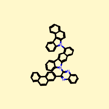 c1cc(-n2c3ccccc3c3c4ccccc4ccc32)c2cc3c4ccccc4n(-c4nc5ccccc5nc4-c4ccc5c(ccc6ccccc65)c4)c3cc2c1